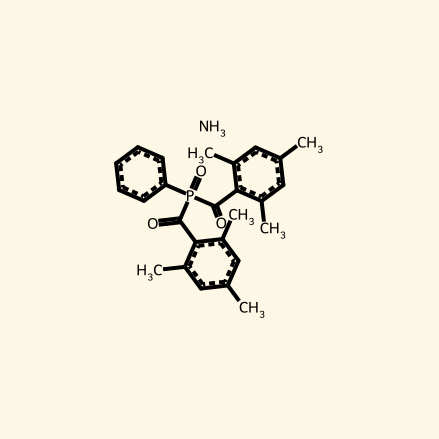 Cc1cc(C)c(C(=O)P(=O)(C(=O)c2c(C)cc(C)cc2C)c2ccccc2)c(C)c1.N